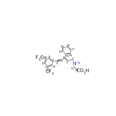 CN(CC=C(C#Cc1cc(C(F)(F)F)cc(C(F)(F)F)c1)c1ccccc1)CC(=O)O